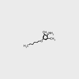 CCCCCCOc1cc(C)c(N)c(C)c1